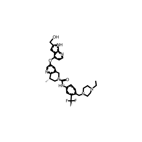 CCN1CCN(Cc2ccc(NC(=O)N3Cc4cc(Oc5ccnc6[nH]c(CO)cc56)cnc4[C@@H](C)C3)cc2C(F)(F)F)CC1